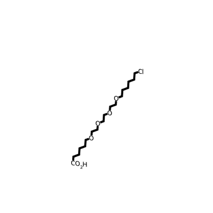 O=C(O)CCCCCOCCOCCOCCOCCCCCCCl